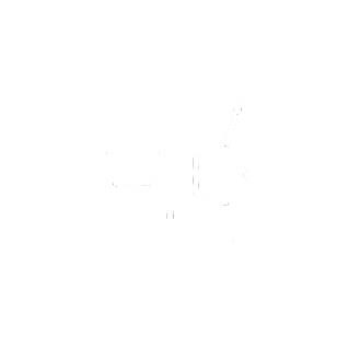 O=C1C=CC(=O)O1.[2H]C1CCOC1=O